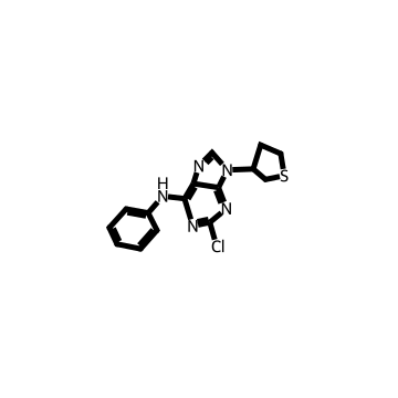 Clc1nc(Nc2ccccc2)c2ncn(C3CCSC3)c2n1